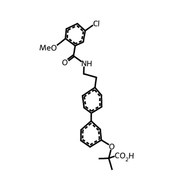 COc1ccc(Cl)cc1C(=O)NCCc1ccc(-c2cccc(OC(C)(C)C(=O)O)c2)cc1